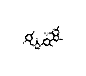 Cc1nc(N)c2c(-c3ccc(-n4ncn(Cc5cc(F)ccc5F)c4=O)cc3F)cn(C)c2n1